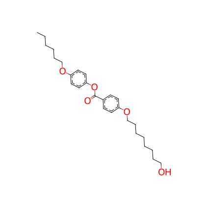 CCCCCCOc1ccc(OC(=O)c2ccc(OCCCCCCCCO)cc2)cc1